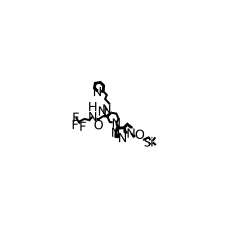 C[Si](C)(C)CCOCn1ccc2c(N3CCc4c(c(C(=O)NCCC(F)(F)F)nn4CCCc4ccccn4)C3)ncnc21